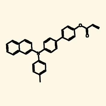 C=CC(=O)Oc1ccc(-c2ccc(N(c3ccc(C)cc3)c3ccc4ccccc4c3)cc2)cc1